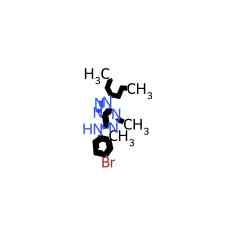 CCCC(CCC)n1nnc2c(Nc3ccc(Br)cc3C)nc(C)nc21